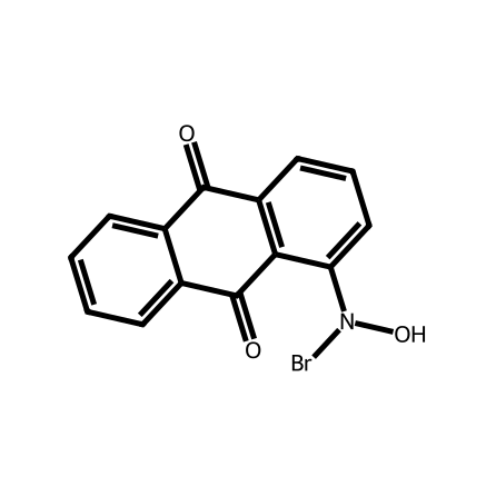 O=C1c2ccccc2C(=O)c2c1cccc2N(O)Br